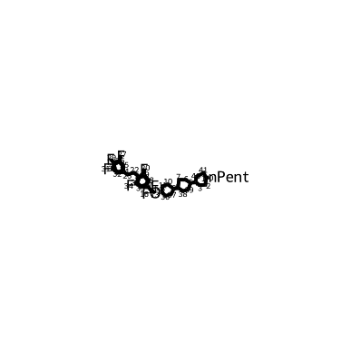 CCCCCC1CCC(C2CCC(C3CCC(OC(F)(F)c4cc(F)c(CCc5cc(F)c(F)c(F)c5)c(F)c4)CC3)CC2)CC1